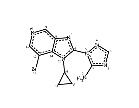 Nc1ncnn1-c1nc2cncc(Br)c2n1C1CC1